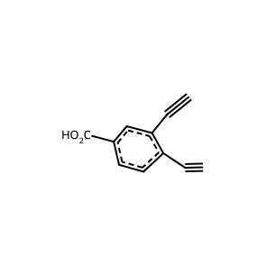 C#Cc1ccc(C(=O)O)cc1C#C